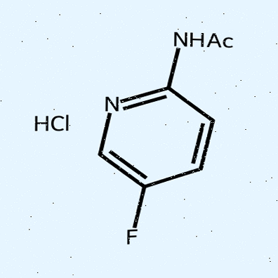 CC(=O)Nc1ccc(F)cn1.Cl